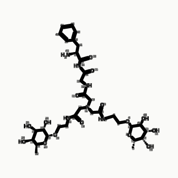 C[C@@H]1O[C@@H](OCCNC(=O)CN(CC(=O)NCCO[C@@H]2O[C@@H](C)[C@@H](O)[C@@H](O)[C@@H]2O)CC(=O)NCC(=O)NC(=O)[C@@H](N)Cc2ccccc2)[C@@H](O)[C@H](O)[C@@H]1O